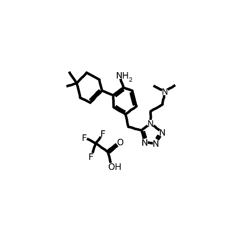 CN(C)CCn1nnnc1Cc1ccc(N)c(C2=CCC(C)(C)CC2)c1.O=C(O)C(F)(F)F